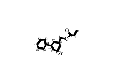 C=CC(=O)OCc1cccc(-c2ccccc2)c1.[Zr]